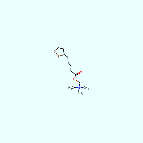 C[N+](C)(C)COC(=O)CCCCC1CCSS1